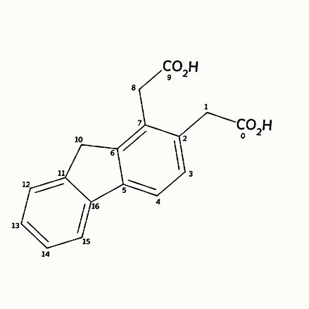 O=C(O)Cc1ccc2c(c1CC(=O)O)Cc1ccccc1-2